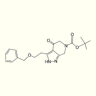 CC(C)(C)OC(=O)N1CC(=O)c2c(n[nH]c2CCOCc2ccccc2)C1